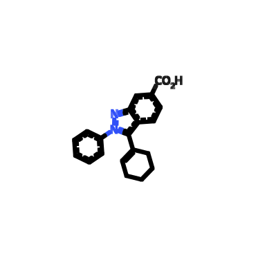 O=C(O)c1ccc2c(C3=CCCCC3)n(-c3ccccc3)nc2c1